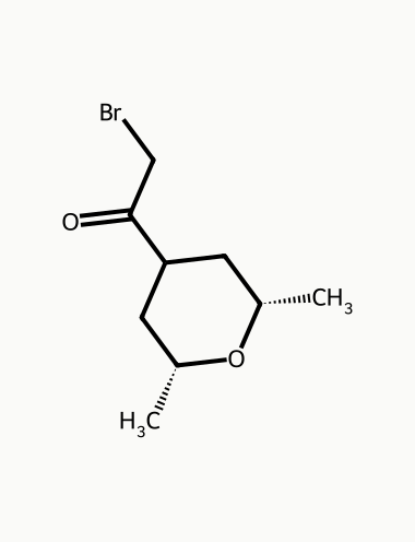 C[C@@H]1CC(C(=O)CBr)C[C@H](C)O1